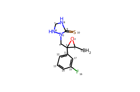 BC1OC1(CN1NCNC1=S)c1cccc(F)c1